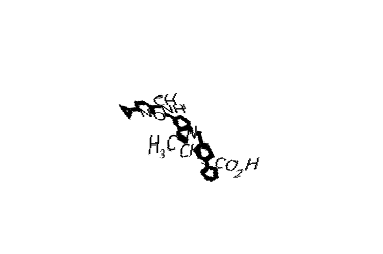 Cc1c(C)n(Cc2ccc(-c3ccccc3C(=O)O)cc2)c2ccc(C(=O)NC(C)c3ccc(C4CC4)nc3)cc12